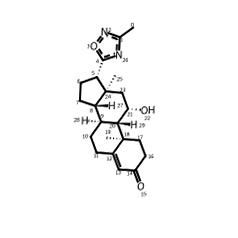 Cc1noc([C@H]2CC[C@H]3[C@@H]4CCC5=CC(=O)CC[C@]5(C)[C@H]4[C@@H](O)C[C@]23C)n1